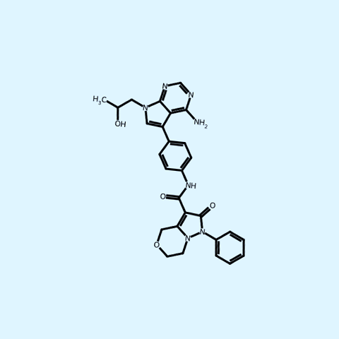 CC(O)Cn1cc(-c2ccc(NC(=O)c3c4n(n(-c5ccccc5)c3=O)CCOC4)cc2)c2c(N)ncnc21